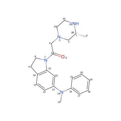 C[C@@H]1CN(CC(=O)N2CCc3ccc(N(C)c4ccccc4)cc32)CCN1